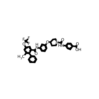 Cc1cc(OC(F)(F)F)cc(C(=O)Nc2cccc(OC3CCN(C(=O)Nc4ccc(C(=O)O)cc4)CC3)c2)c1-c1ccccc1